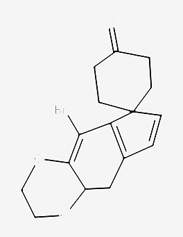 O=C1CCC2(C=CC3=C2C(Br)=C2OCCOC2C3)CC1